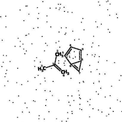 C=C(C)C.c1cc2cc-2c1